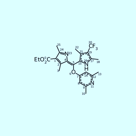 CCOC(=O)C1=C(C)/C(=C(\Oc2cc(C)nc(C)c2)c2[nH]c(C)c(C(F)(F)F)c2C)N=C1C